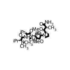 CC[C@H](C)[C@@H]([C@@H](CC(=O)N1CCC[C@H]1[C@H](OC)[C@@H](C)C(N)=O)OC)N(C)C(=O)C(NC(=O)[C@H](C(C)C)N(C)C)C(C)C